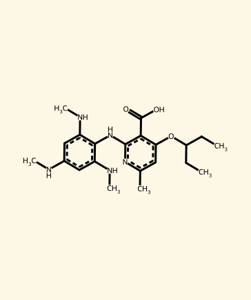 CCC(CC)Oc1cc(C)nc(Nc2c(NC)cc(NC)cc2NC)c1C(=O)O